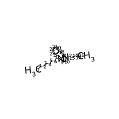 CCCCCCCCN1C=CN(CCCCC)C1Cc1ccccc1